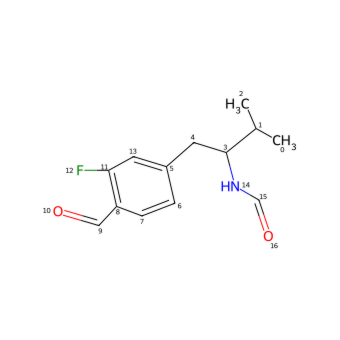 CC(C)C(Cc1ccc(C=O)c(F)c1)NC=O